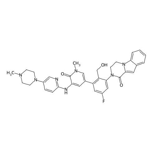 CN1CCN(c2ccc(Nc3cc(-c4cc(F)cc(N5CCn6c(cc7ccccc76)C5=O)c4CO)cn(C)c3=O)nc2)CC1